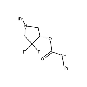 CC(C)NC(=O)O[C@H]1CN(C(C)C)CC1(F)F